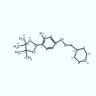 CC1(C)OB(c2ccc(OCCN3CCOCC3)cc2F)OC1(C)C